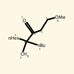 CCCCCCC(C)(CCCC)C(=O)CCOC